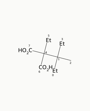 CCC(C)(CC)C(CC)(C(=O)O)C(=O)O